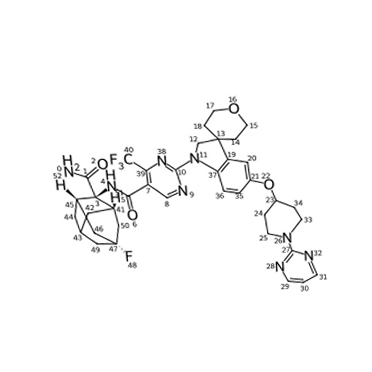 NC(=O)[C@]1(NC(=O)c2cnc(N3CC4(CCOCC4)c4cc(OC5CCN(c6ncccn6)CC5)ccc43)nc2C(F)(F)F)[C@H]2CC3C[C@H]1C[C@](F)(C3)C2